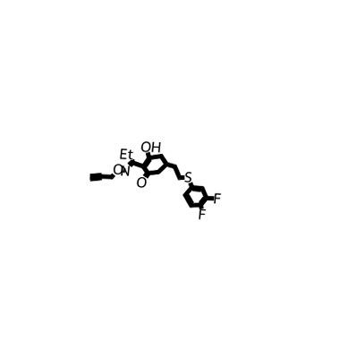 C#CCON=C(CC)C1=C(O)CC(CCSc2ccc(F)c(F)c2)CC1=O